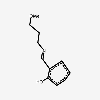 COCCC/N=C/c1ccccc1O